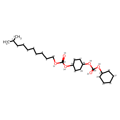 CC(C)CCCCCCCCOC(=O)OC1CCC(OC(=O)OC2CCCCC2)CC1